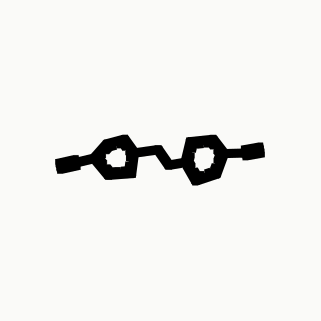 C#Cc1ccc(CCc2ccc(C#C)cc2)cc1